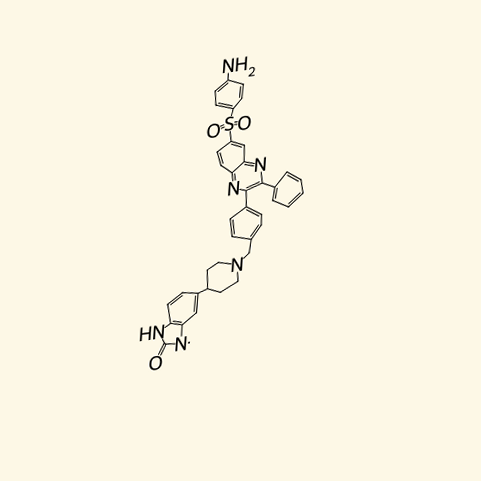 Nc1ccc(S(=O)(=O)c2ccc3nc(-c4ccc(CN5CCC(c6ccc7c(c6)[N]C(=O)N7)CC5)cc4)c(-c4ccccc4)nc3c2)cc1